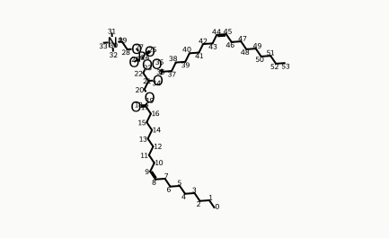 CCCCCCCC/C=C\CCCCCCCC(=O)OCC(COP(=O)([O-])OCC[N+](C)(C)C)OC(=O)CCCCCCC/C=C\CCCCCCCC